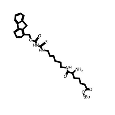 CC(C)(C)OC(=O)CCCCC(N)C(=O)NCCCCCCNC(=S)NC(=O)OCc1cccc2c1Cc1ccccc1-2